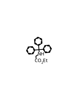 CCOC(=O)CNC(c1ccccc1)(c1ccccc1)c1ccccc1